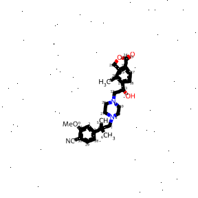 COc1cc(C(C)(C)CN2CCN(CC(O)c3ccc4c(c3C)COC4=O)CC2)ccc1C#N